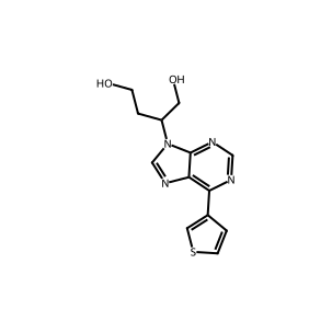 OCCC(CO)n1cnc2c(-c3ccsc3)ncnc21